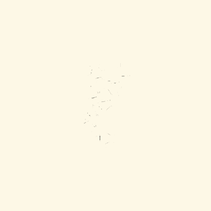 CC(C)(C)OC(=O)c1ccc(-c2ccn(S(=O)(=O)NC(=O)OCc3ccccc3)c2C(=O)OCc2ccccc2)cc1